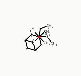 CCC1(SC)CC2CC(C1)N2C(C)(C)C